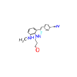 CNc1cccc(/C(F)=C/c2ccc(C#N)cc2)c1NCCC=O